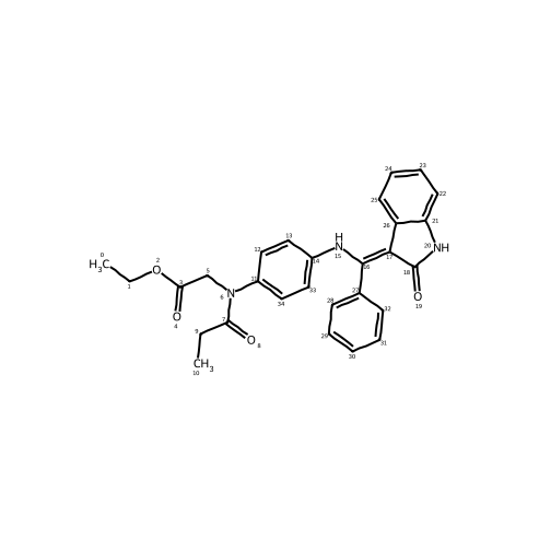 CCOC(=O)CN(C(=O)CC)c1ccc(NC(=C2C(=O)Nc3ccccc32)c2ccccc2)cc1